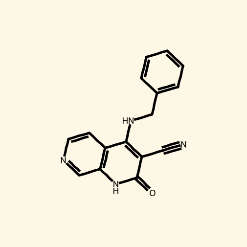 N#Cc1c(NCc2ccccc2)c2ccncc2[nH]c1=O